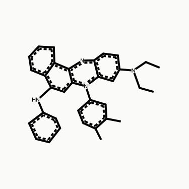 CCN(CC)c1ccc2nc3c4ccccc4c(Nc4ccccc4)cc3[n+](-c3ccc(C)c(C)c3)c2c1